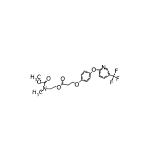 COC(=O)N(C)CCOC(=O)CCOc1ccc(Oc2ccc(C(F)(F)F)cn2)cc1